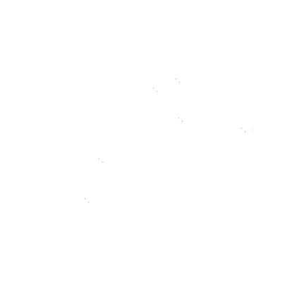 c1ccc(N2CCC(c3nnc4n3-c3ccccc3CNCC4)CC2)nc1